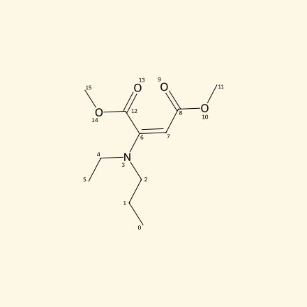 CCCN(CC)/C(=C/C(=O)OC)C(=O)OC